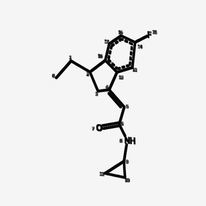 CCC1CC(=CC(=O)NC2CC2)c2cc(F)ccc21